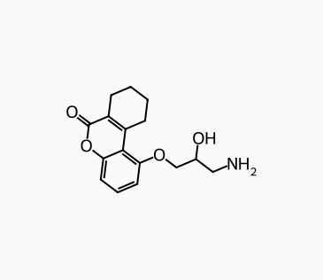 NCC(O)COc1cccc2oc(=O)c3c(c12)CCCC3